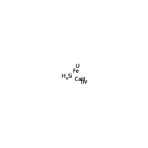 [CaH2].[Fe].[SiH4].[Th].[U]